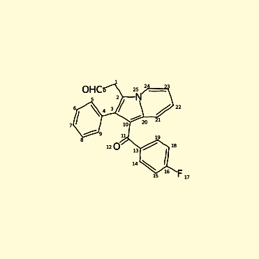 O=CCc1c(-c2ccccc2)c(C(=O)c2ccc(F)cc2)c2ccccn12